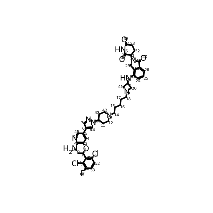 CC(Oc1cc(-c2cnn(C3CCN(CCCCCN4CC(Nc5cccc6c5CN(C5CCC(=O)NC5=O)C6=O)C4)CC3)c2)cnc1N)c1c(Cl)ccc(F)c1Cl